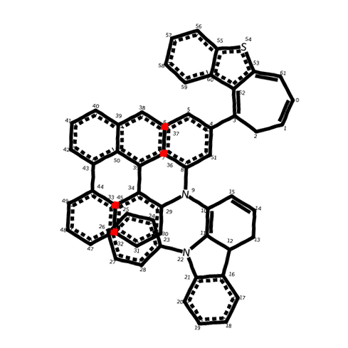 C1=CCC(c2cccc(N(C3=C4C(CC=C3)c3ccccc3N4c3ccccc3)c3ccccc3-c3cccc4cccc(-c5ccccc5)c34)c2)=c2c(sc3ccccc23)=C1